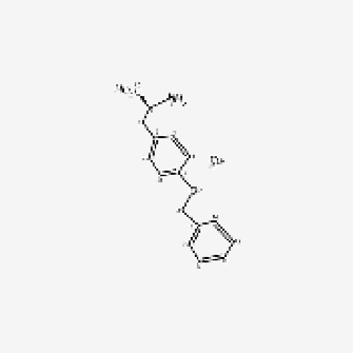 N[C@@H](Cc1ccc(OCc2ccccc2)cc1)C(=O)O.[Cu]